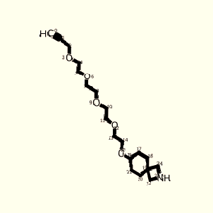 C#CCOCCOCCOCCOCCOC1CCC2(CC1)CNC2